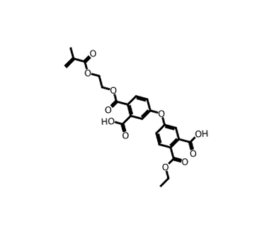 C=C(C)C(=O)OCCOC(=O)c1ccc(Oc2ccc(C(=O)OCC)c(C(=O)O)c2)cc1C(=O)O